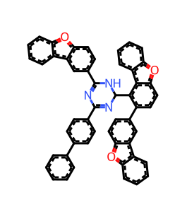 c1ccc(-c2ccc(C3=NC(c4c(-c5ccc6oc7ccccc7c6c5)ccc5oc6ccccc6c45)NC(c4ccc5oc6ccccc6c5c4)=N3)cc2)cc1